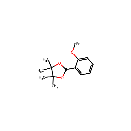 CCCOc1ccccc1B1OC(C)(C)C(C)(C)O1